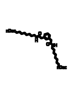 CCCCCCCCCCCCCCCCCCNC(=O)Cc1cccc(CC(=O)NCCCCCCCCCCCCCCCCCC)c1